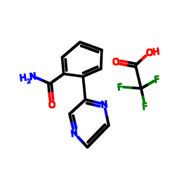 NC(=O)c1ccccc1-c1cnccn1.O=C(O)C(F)(F)F